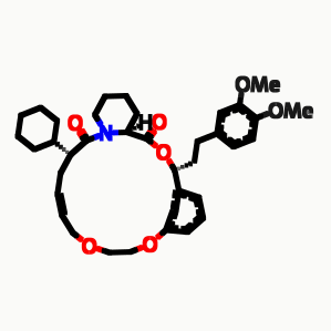 COc1ccc(CC[C@H]2OC(=O)[C@@H]3CCCCN3C(=O)[C@@H](C3CCCCC3)CC=CCOCCOc3cccc2c3)cc1OC